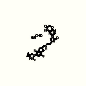 NC1(COc2cc(F)c3c(c2F)CC(CNCCC2CN(c4cnc5c(n4)NC(=O)CO5)C(=O)O2)C3)CC1.O=CO